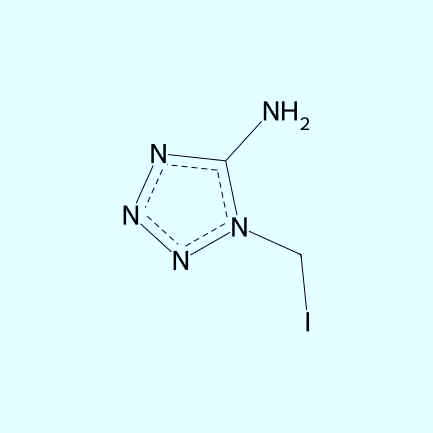 Nc1nnnn1CI